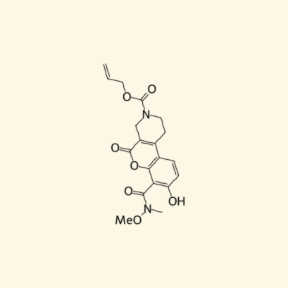 C=CCOC(=O)N1CCc2c(c(=O)oc3c(C(=O)N(C)OC)c(O)ccc23)C1